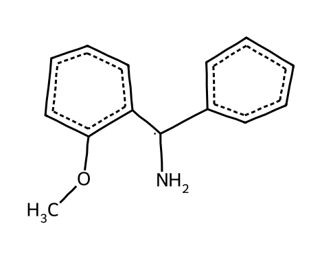 COc1ccccc1[C](N)c1ccccc1